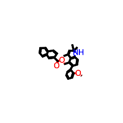 COc1ccccc1-c1ccc2c(c1COC(=O)c1ccc3ccccc3c1)C(C)=CC(C)(C)N2